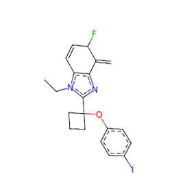 C=C1c2nc(C3(Oc4ccc(I)cc4)CCC3)n(CC)c2C=CC1F